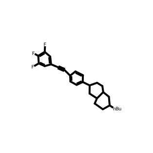 CCCCC1CCC2CC(c3ccc(C#Cc4cc(F)c(F)c(F)c4)cc3)CCC2C1